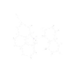 Ic1cc2ccc3cccc4c3c2c(c1)n4-c1cccc2ccccc12